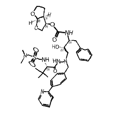 CN(C)S(=O)(=O)N[C@H](C(=O)NN(Cc1ccc(-c2ccccn2)cc1)C[C@H](O)[C@H](Cc1ccccc1)NC(=O)O[C@H]1CO[C@H]2OCC[C@H]21)C(C)(C)C